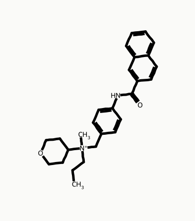 CCC[N+](C)(Cc1ccc(NC(=O)c2ccc3ccccc3c2)cc1)C1CCOCC1